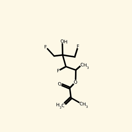 C=C(C)C(=O)OC(C)C(F)C(O)(CF)CF